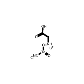 NCC(=O)O.O=[Te](O)O.[Cl-].[Li+]